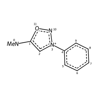 C[N-]c1c[n+](-c2ccccc2)no1